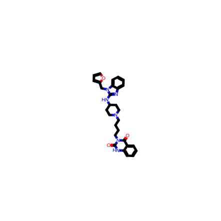 O=c1[nH]c2ccccc2c(=O)n1CCCCN1CCC(Nc2nc3ccccc3n2Cc2ccco2)CC1